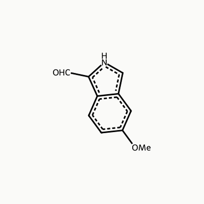 COc1ccc2c(C=O)[nH]cc2c1